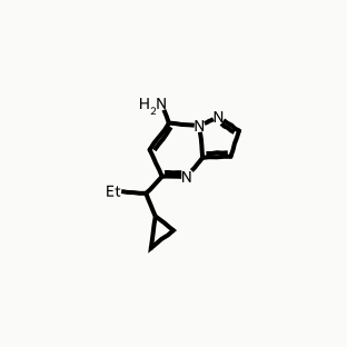 CCC(c1cc(N)n2nccc2n1)C1CC1